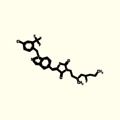 CCCC(F)CN(C)CCN1C(=O)S/C(=C\c2ccc3c(cnn3Cc3ccc(Cl)cc3C(F)(F)F)c2)C1=O